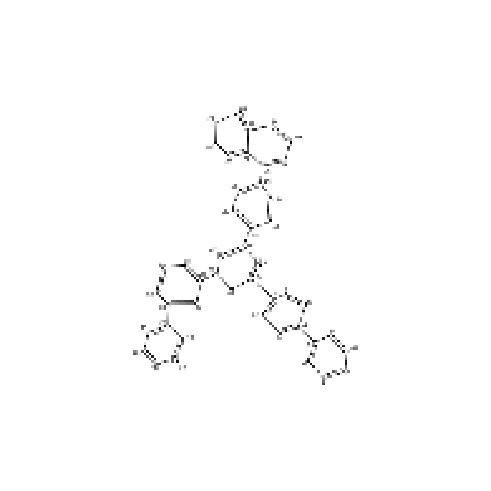 c1ccc(-c2ccc(C3=NC(c4ccc(-c5cccc6ccccc56)cc4)=NC(c4cccc(-c5cccnc5)c4)C3)cc2)cc1